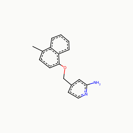 Cc1ccc(OCc2ccnc(N)c2)c2ccccc12